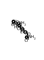 CC[C@H]1CN(c2nc(N)c(C(=O)Nc3ncccc3O)nc2Cl)CCN1C1CCN(C(=O)c2ccc(Cl)nc2N)CC1